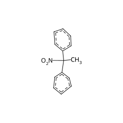 CC(c1ccccc1)(c1ccccc1)[N+](=O)[O-]